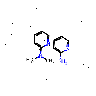 CN(C)c1ccccn1.Nc1ccccn1